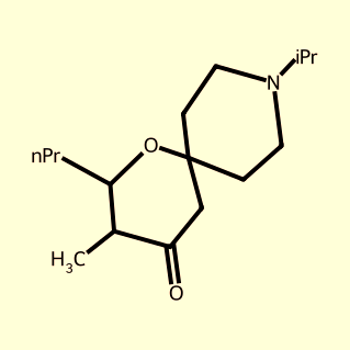 CCCC1OC2(CCN(C(C)C)CC2)CC(=O)C1C